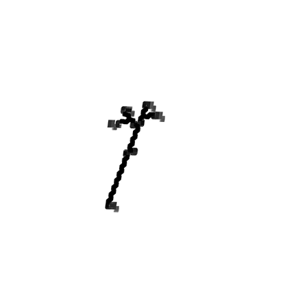 CCCCCCCCCCCCCCCOC(=O)CCCCCCC(OCC(CCC)CCC)OCC(CCC)CCC